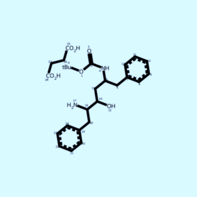 CC(C)(C)OC(=O)NC(Cc1ccccc1)CC(O)C(N)Cc1ccccc1.O=C(O)CCC(=O)O